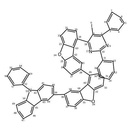 Ic1c(-c2ccccc2)nc(-c2ccccc2)nc1-c1cccc2oc3ccc(-c4cccc5oc6ccc(-c7ccc8c(c7)c7ccccc7n8-c7ccccc7)cc6c45)cc3c12